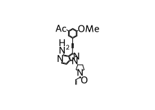 C=CC(=O)N1CCC(n2nc(C#Cc3cc(OC)cc(C(C)=O)c3)c3c(N)nccc32)C1